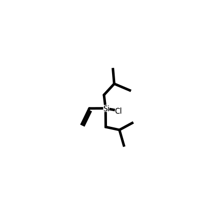 C=C[Si](Cl)(CC(C)C)CC(C)C